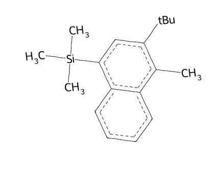 Cc1c(C(C)(C)C)cc([Si](C)(C)C)c2ccccc12